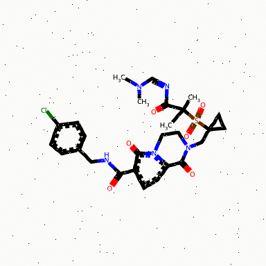 CN(C)/C=N\C(=O)C(C)(C)S(=O)(=O)C1(CN2CCn3c(ccc(C(=O)NCc4ccc(Cl)cc4)c3=O)C2=O)CC1